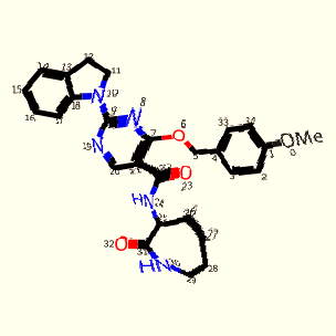 COc1ccc(COc2nc(N3CCc4ccccc43)ncc2C(=O)NC2CCCCNC2=O)cc1